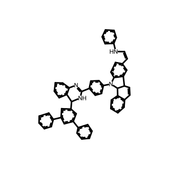 C1=CC2c3cc(/C=C\Nc4ccccc4)ccc3N(c3ccc(C4=Nc5ccccc5C(c5cc(-c6ccccc6)cc(-c6ccccc6)c5)N4)cc3)C2c2ccccc21